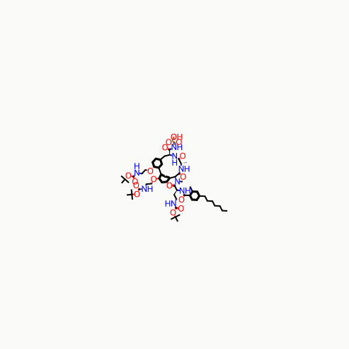 CCCCCCCc1ccc(C(=O)N[C@@H](CCNC(=O)OC(C)(C)C)C(=O)N(C)[C@@H]2C(=O)N[C@@H](C)C(=O)N[C@H](C(=O)NS(=O)(=O)O)Cc3ccc(OCCNC(=O)OC(C)(C)C)c(c3)-c3cc2ccc3OCCNC(=O)OC(C)(C)C)c(C)c1